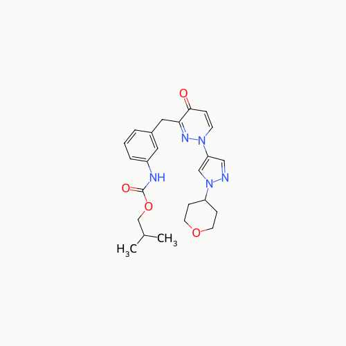 CC(C)COC(=O)Nc1cccc(Cc2nn(-c3cnn(C4CCOCC4)c3)ccc2=O)c1